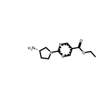 CCOC(=O)c1cnc(N2CC[C@H](N)C2)nc1